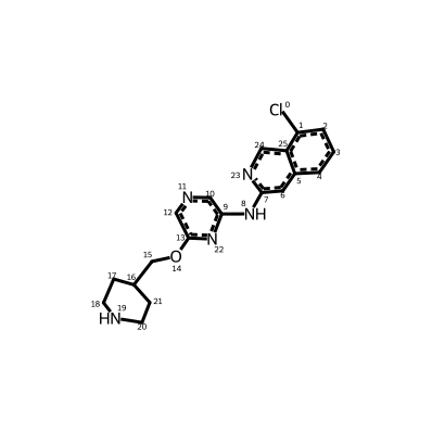 Clc1cccc2cc(Nc3cncc(OCC4CCNCC4)n3)ncc12